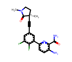 CN1CC[C@@](C)(C#Cc2cc(F)c(F)c(-c3ccc(N)c(C(N)=O)n3)c2)C1=O